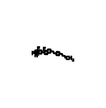 CCCCCc1ccc(CCc2ccc3c(F)c(-c4cc(F)c(OC(F)F)c(F)c4)ccc3c2)cc1